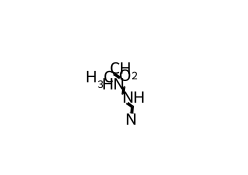 C=C(C)C(=O)NCCNCCC#N